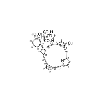 C1=Cc2cc3ccc(cc4nc(cc5ccc(cc1n2)[nH]5)C=C4)[nH]3.O=[C](O)[Fe]([C](=O)O)([C](=O)O)([C](=O)O)[c]1ccccc1.[Cu]